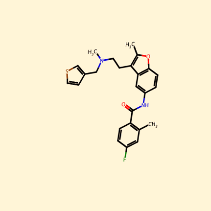 Cc1cc(F)ccc1C(=O)Nc1ccc2oc(C)c(CCN(C)Cc3ccsc3)c2c1